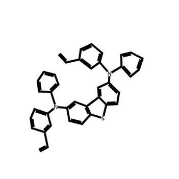 C=Cc1cccc(N(c2ccccc2)c2ccc3sc4ccc(N(c5ccccc5)c5cccc(C=C)c5)cc4c3c2)c1